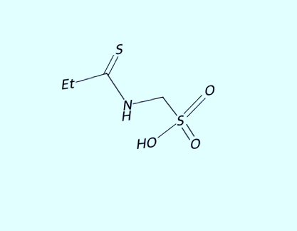 CCC(=S)NCS(=O)(=O)O